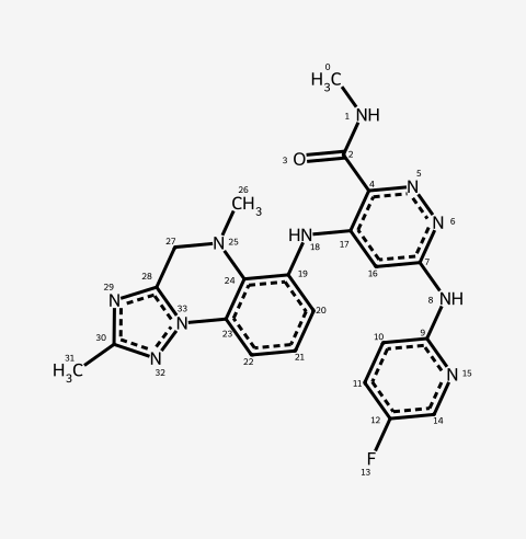 CNC(=O)c1nnc(Nc2ccc(F)cn2)cc1Nc1cccc2c1N(C)Cc1nc(C)nn1-2